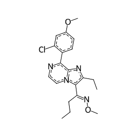 CCCC(=NOC)c1c(CC)nc2c(-c3ccc(OC)cc3Cl)nccn12